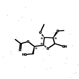 CO[C@H]1[C@@H]([C@@H](CO)OC(C)=O)OC(O)[C@@H]1OC